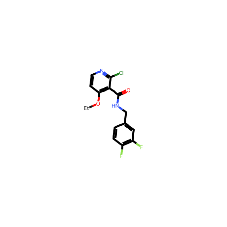 CCOc1ccnc(Cl)c1C(=O)NCc1ccc(F)c(F)c1